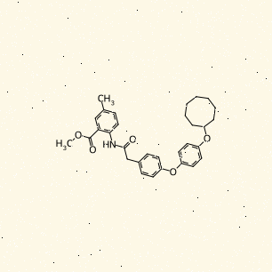 COC(=O)c1cc(C)ccc1NC(=O)Cc1ccc(Oc2ccc(OC3CCCCCCC3)cc2)cc1